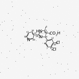 CC1=C(C(=O)O)C(c2ccc(Cl)c(Cl)c2)N=C(c2cccnc2)N1